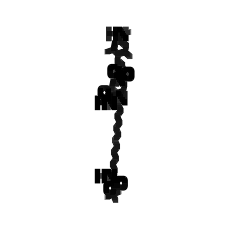 CNc1cc(C)c(C=CS(=O)(=O)N2CCC3(CC2)N=C(CCCCCCCCCCCNC(=O)OC(C)(C)C)NC3=O)c(C)c1